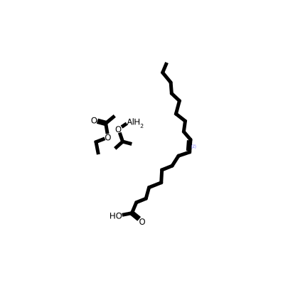 CC(C)[O][AlH2].CCCCCCCC/C=C\CCCCCCCC(=O)O.CCOC(C)=O